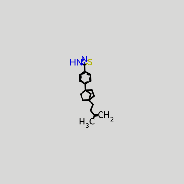 C=C(C)CCC12CCC(c3ccc(C45NN4S5)cc3)(CC1)C2